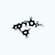 NS(=O)(=O)c1ccc(NC(=O)Cc2cc(Oc3cc(Cl)cc(Cl)c3)c3occc3c2)c(Cl)c1